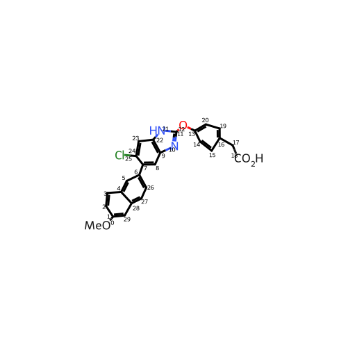 COc1ccc2cc(-c3cc4nc(Oc5ccc(CC(=O)O)cc5)[nH]c4cc3Cl)ccc2c1